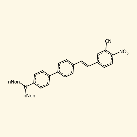 CCCCCCCCCN(CCCCCCCCC)c1ccc(-c2ccc(/C=C/c3ccc([N+](=O)[O-])c(C#N)c3)cc2)cc1